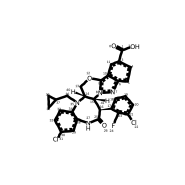 O=C(O)c1ccc2nn3c(c2c1)OC[C@@H]1[C@H]3[C@@H](c2cccc(Cl)c2F)C(=O)Nc2cc(Cl)ccc2N1CC1CC1